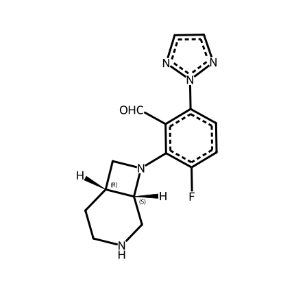 O=Cc1c(-n2nccn2)ccc(F)c1N1C[C@H]2CCNC[C@H]21